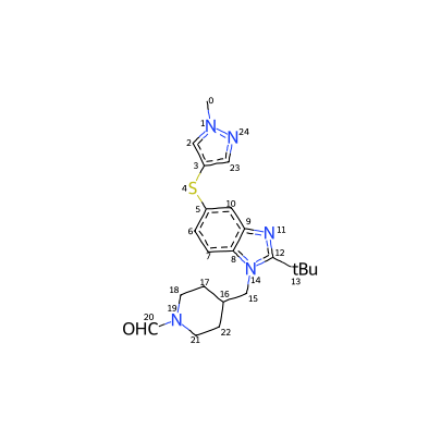 Cn1cc(Sc2ccc3c(c2)nc(C(C)(C)C)n3CC2CCN(C=O)CC2)cn1